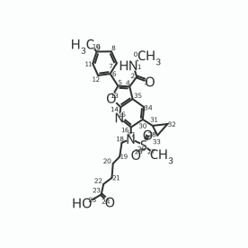 CNC(=O)c1c(-c2ccc(C)cc2)oc2nc(N(CCCCCC(=O)O)S(C)(=O)=O)c(C3CC3)cc12